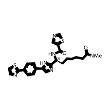 CNC(=O)CCCCC[C@H](NC(=O)c1cncs1)c1ncc(-c2ccc(-c3nccs3)cc2)[nH]1